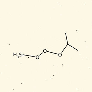 CC(C)OOO[SiH3]